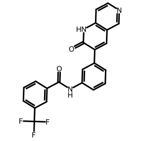 O=C(Nc1cccc(-c2cc3cnccc3[nH]c2=O)c1)c1cccc(C(F)(F)F)c1